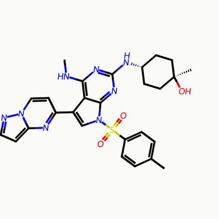 CNc1nc(N[C@H]2CC[C@](C)(O)CC2)nc2c1c(-c1ccn3nccc3n1)cn2S(=O)(=O)c1ccc(C)cc1